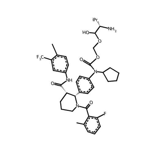 Cc1ccc(NC(=O)[C@H]2CCCN(C(=O)c3c(C)cccc3F)[C@H]2c2ccc(N(C(=O)OCOC(O)[C@@H](N)C(C)C)C3CCCC3)cc2)cc1C(F)(F)F